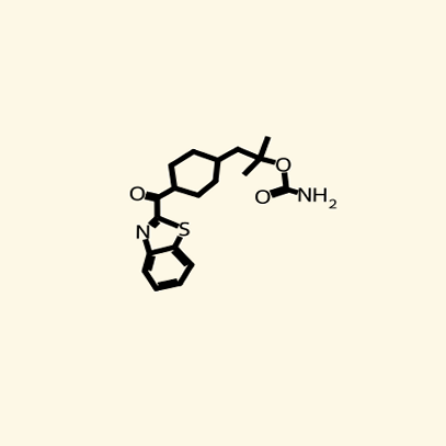 CC(C)(CC1CCC(C(=O)c2nc3ccccc3s2)CC1)OC(N)=O